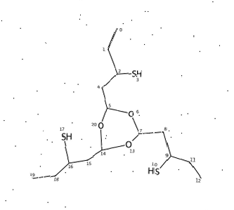 CCC(S)CC1OC(CC(S)CC)OC(CC(S)CC)O1